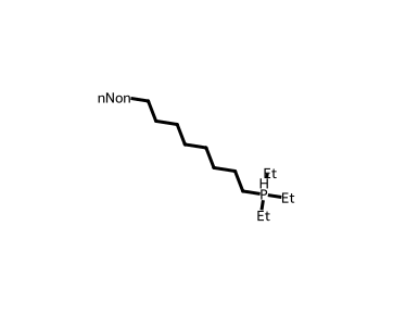 CCCCCCCCCCCCCCCCC[PH](CC)(CC)CC